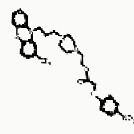 O=C(COc1ccc([N+](=O)[O-])cc1)OCCN1CCN(CCCN2c3ccccc3Sc3ccc(C(F)(F)F)cc32)CC1